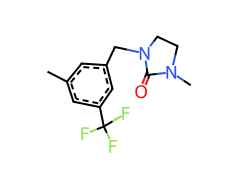 Cc1cc(CN2CCN(C)C2=O)cc(C(F)(F)F)c1